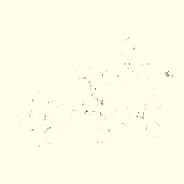 N#Cc1ccc2c(c1)c1ccccc1n2-c1ccc2c(c1)c1ccccc1n2-c1cc(-c2ccc([Si](c3ccccc3)(c3ccccc3)c3ccccc3)cc2)nc(-n2c3ccccc3c3cc(-n4c5ccccc5c5ccccc54)ccc32)n1